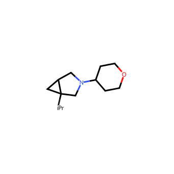 CC(C)C12CC1CN(C1CCOCC1)C2